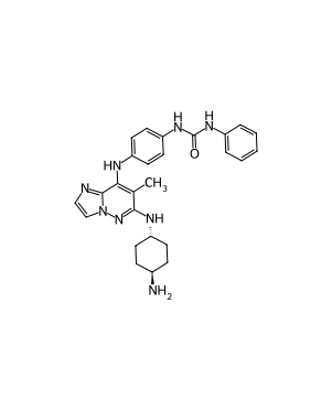 Cc1c(N[C@H]2CC[C@H](N)CC2)nn2ccnc2c1Nc1ccc(NC(=O)Nc2ccccc2)cc1